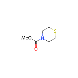 [CH2]OC(=O)N1CCSCC1